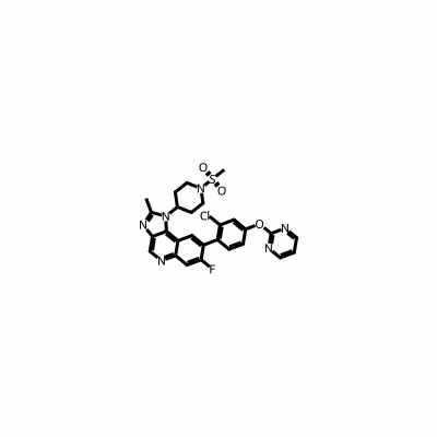 Cc1nc2cnc3cc(F)c(-c4ccc(Oc5ncccn5)cc4Cl)cc3c2n1C1CCN(S(C)(=O)=O)CC1